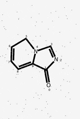 O=C1N=CN2CC=CC=C12